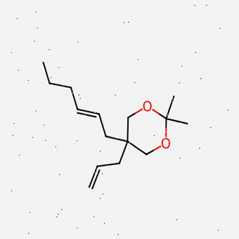 C=CCC1(C/C=C/CCC)COC(C)(C)OC1